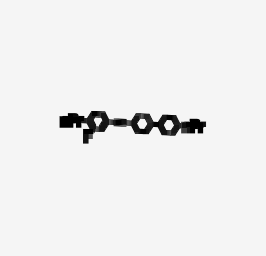 CCCc1ccc(C#CC2CCC(C3CCC(CCC)CC3)CC2)cc1F